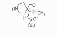 C[C@H]1OCC2(CCNCC2)[C@@H]1N[S+]([O-])C(C)(C)C